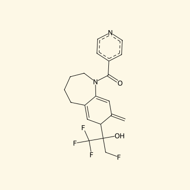 C=C1C=C2C(=CC1C(O)(CF)C(F)(F)F)CCCCN2C(=O)c1ccncc1